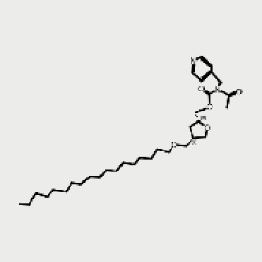 CCCCCCCCCCCCCCCCCCOC[C@@H]1CO[C@@H](COC(=O)N(Cc2ccncc2)C(C)=O)C1